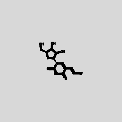 O=c1[nH]c(=O)n([C@@H]2S[C@@H](CO)C(O)C2O)cc1/C=C/Br